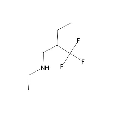 CCNCC(CC)C(F)(F)F